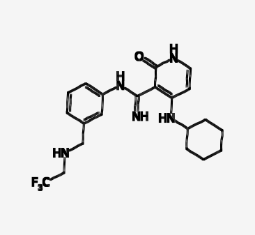 N=C(Nc1cccc(CNCC(F)(F)F)c1)c1c(NC2CCCCC2)cc[nH]c1=O